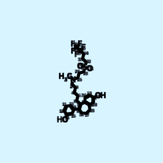 CN(CCCCCC1=C(c2cccc(O)c2)CCCc2cc(O)ccc21)CCCS(=O)(=O)CCCC(F)(F)C(F)(F)F